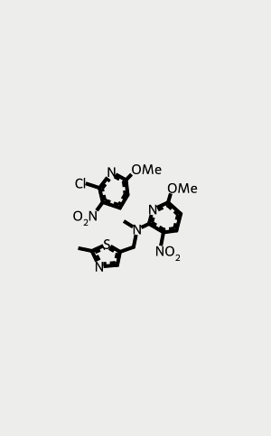 COc1ccc([N+](=O)[O-])c(Cl)n1.COc1ccc([N+](=O)[O-])c(N(C)Cc2cnc(C)s2)n1